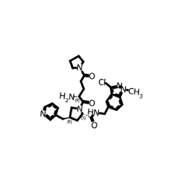 Cn1nc(Cl)c2cc(CNC(=O)[C@@H]3C[C@@H](Cc4cccnc4)CN3C(=O)[C@H](N)CCC(=O)N3CCCC3)ccc21